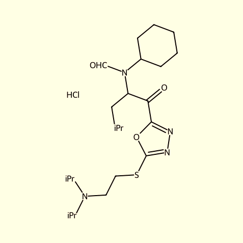 CC(C)CC(C(=O)c1nnc(SCCN(C(C)C)C(C)C)o1)N(C=O)C1CCCCC1.Cl